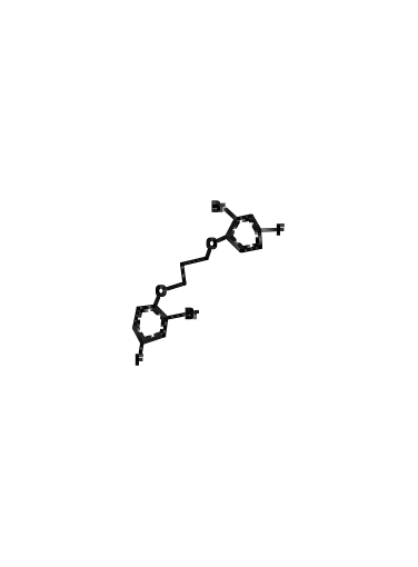 Fc1ccc(OCCCOc2ccc(F)cc2Br)c(Br)c1